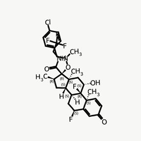 C[C@@H]1C[C@H]2[C@@H]3C[C@H](F)C4=CC(=O)C=C[C@]4(C)[C@@]3(F)[C@@H](O)C[C@]2(C)[C@@]1(ON(C)Cc1ccc(Cl)cc1)C(=O)NCC(F)(F)F